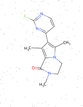 Cc1c(-c2ccnc(F)n2)c(C)n2c1C(=O)N(C)CC2